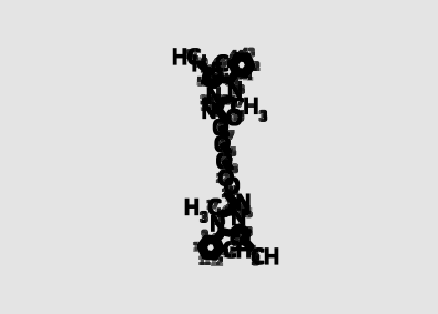 C#Cc1cc2c(s1)C(c1ccccc1C)=NC(C)c1c(COOCOCOCOC(=O)c3ncn4c3C(C)N=C(c3ccccc3C)c3sc(C#C)cc3-4)ncn1-2